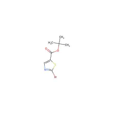 CC(C)(C)OC(=O)c1cnc(Br)s1